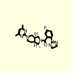 Cc1cc(C)nc(N2CC[C@H]3[C@@H](C2)CN(C(=O)c2cc(F)ccc2-n2nccn2)[C@@H]3C)n1